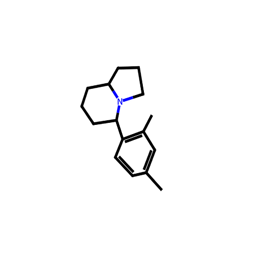 Cc1ccc(C2CCCC3CCCN32)c(C)c1